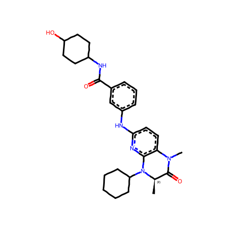 C[C@@H]1C(=O)N(C)c2ccc(Nc3cccc(C(=O)NC4CCC(O)CC4)c3)nc2N1C1CCCCC1